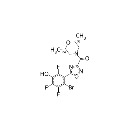 C[C@@H]1CN(C(=O)c2noc(-c3c(F)c(O)c(F)c(F)c3Br)n2)C[C@H](C)O1